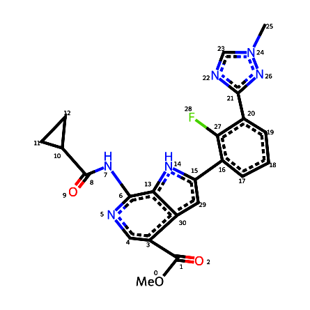 COC(=O)c1cnc(NC(=O)C2CC2)c2[nH]c(-c3cccc(-c4ncn(C)n4)c3F)cc12